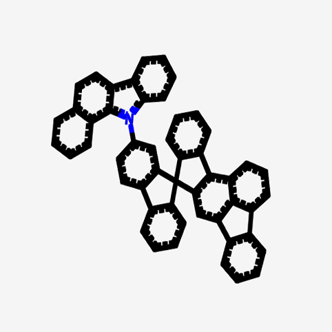 c1ccc2c(c1)-c1cccc3c4c(cc-2c13)C1(c2ccccc2-c2ccc(-n3c5ccccc5c5ccc6ccccc6c53)cc21)c1ccccc1-4